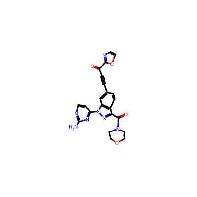 Nc1nccc(-n2nc(C(=O)N3CCOCC3)c3ccc(C#CC(=O)c4ncco4)cc32)n1